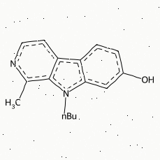 CCCCn1c2cc(O)ccc2c2ccnc(C)c21